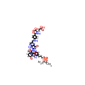 CCOP(=O)(OCC)OCCCCNC(=O)C1C(C(=O)Nc2nc(=O)c3nc(CNc4ccc(C(=O)N[C@@H](CCC(=O)O)C(=O)O)cc4)cnc3[nH]2)[C@H]2C=CC(=O)[C@@H]1N2Cc1ccccc1